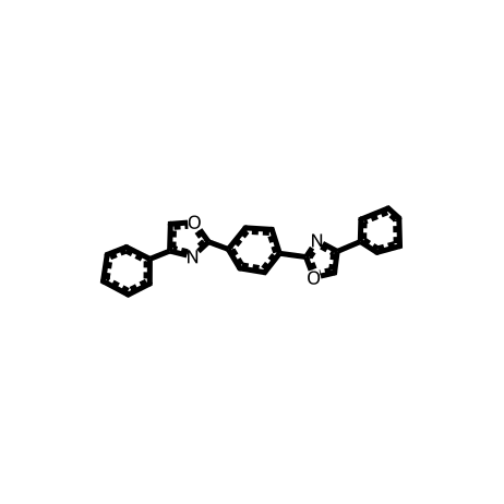 c1ccc(-c2coc(-c3ccc(-c4nc(-c5ccccc5)co4)cc3)n2)cc1